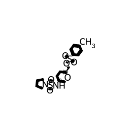 Cc1ccc(S(=O)(=O)OC[C@@H]2CC[C@@H](NS(=O)(=O)N3CCCC3)CO2)cc1